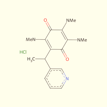 CNC1=C(NC)C(=O)C(C(C)c2cccnc2)=C(NC)C1=O.Cl